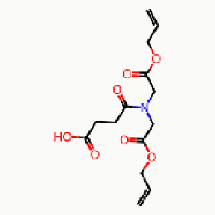 C=CCOC(=O)CN(CC(=O)OCC=C)C(=O)CCC(=O)O